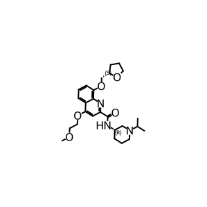 COCCOc1cc(C(=O)N[C@@H]2CCCN(C(C)C)C2)nc2c(OC[C@@H]3CCCO3)cccc12